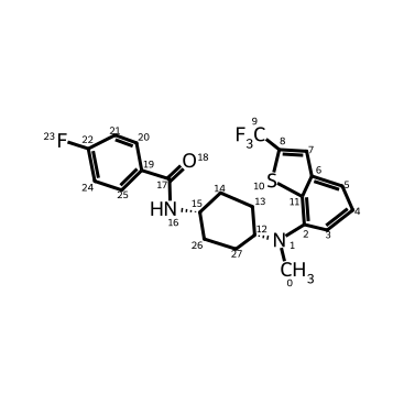 CN(c1cccc2cc(C(F)(F)F)sc12)[C@H]1CC[C@@H](NC(=O)c2ccc(F)cc2)CC1